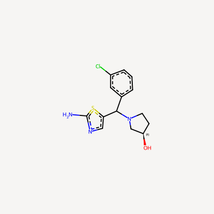 Nc1ncc(C(c2cccc(Cl)c2)N2CC[C@@H](O)C2)s1